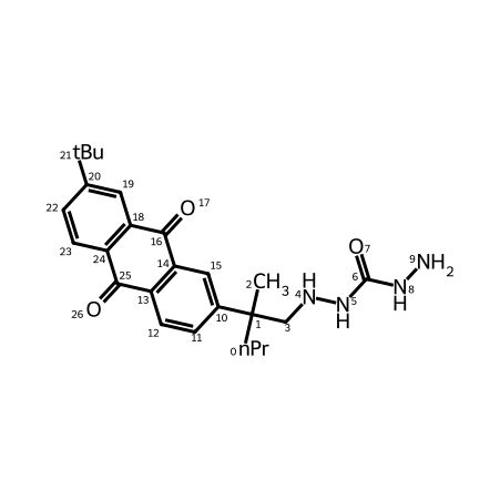 CCCC(C)(CNNC(=O)NN)c1ccc2c(c1)C(=O)c1cc(C(C)(C)C)ccc1C2=O